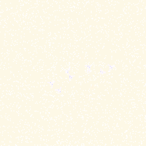 COC(=O)CCc1c(C(=O)NCc2ncn3ccc(Cl)cc23)cnn1Cc1cn2cc(C3CC3)ccc2n1